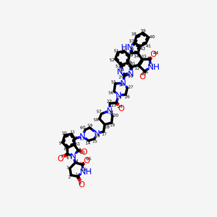 O=C1CCC(N2C(=O)c3cccc(N4CCN(CC5CCN(CC(=O)N6CCN(c7nc(C8=C(c9c[nH]c%10ccccc9%10)C(=O)NC8=O)c8ccccc8n7)CC6)CC5)CC4)c3C2=O)C(=O)N1